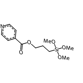 CO[Si](CCCOC(=O)c1ccncc1)(OC)OC